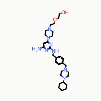 Nc1cc(N2CCN(CCOCCO)CC2)nc(NCc2ccc(CN3CCN(C4CCCCC4)CC3)cc2)n1